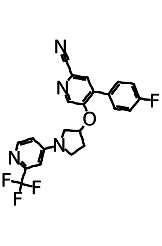 N#Cc1cc(-c2ccc(F)cc2)c(OC2CCN(c3ccnc(C(F)(F)F)c3)C2)cn1